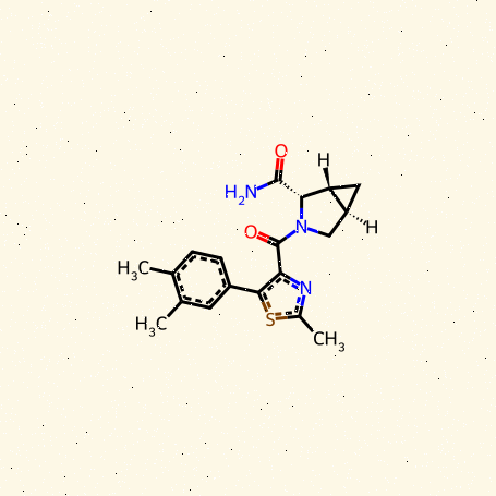 Cc1nc(C(=O)N2C[C@@H]3C[C@H]3[C@H]2C(N)=O)c(-c2ccc(C)c(C)c2)s1